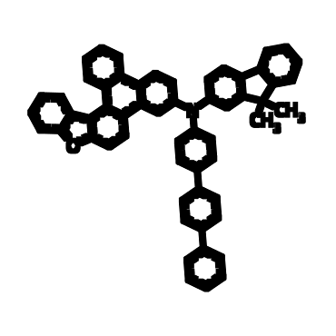 CC1(C)c2ccccc2-c2ccc(N(c3ccc(-c4ccc(-c5ccccc5)cc4)cc3)c3ccc4c5ccccc5c5c(ccc6oc7ccccc7c65)c4c3)cc21